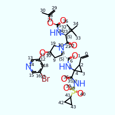 C=CC1CC1(NC(=O)[C@@H]1C[C@@H](Oc2cncc(Br)c2)CN1C(=O)[C@@H](NC(=O)OC(=C)C)C(C)(C)C)C(=O)NS(=O)(=O)C1CC1